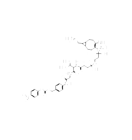 CC(C)C(NC(=O)CCC(C)(C)OCCC(C)(C)N(N)/C1=C(\N)CCC2C(CC1)C2CON)C(=O)NCC(=O)Nc1ccc(COC(=O)Oc2ccc([N+](=O)[O-])cc2)cc1